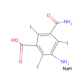 NC(=O)c1c(I)c(N)c(I)c(C(=O)O)c1I.[NaH]